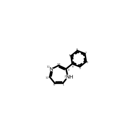 C1=CNC(c2ccccc2)=CN=C1